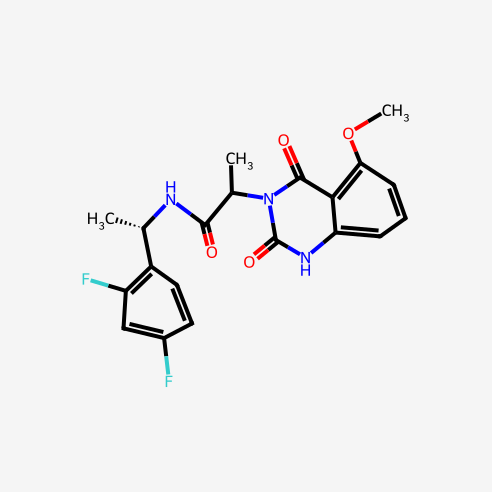 COc1cccc2[nH]c(=O)n(C(C)C(=O)N[C@@H](C)c3ccc(F)cc3F)c(=O)c12